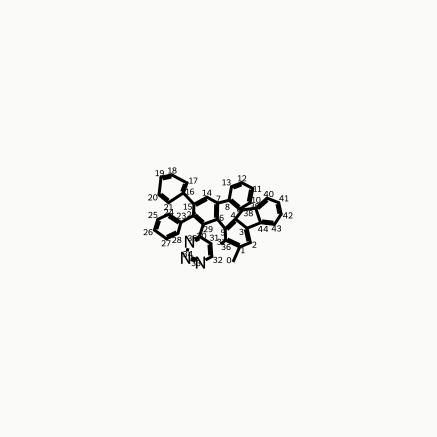 Cc1cc2c(c(-c3c(-c4ccccc4)cc(-c4ccccc4)c(-c4ccccc4)c3-c3ccnnn3)c1C)Cc1ccccc1-2